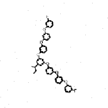 CCC(C)c1cc(Oc2cccc(Oc3cccc(Oc4cccc(F)c4)c3)c2)cc(Oc2cccc(Oc3cccc(Oc4cccc(F)c4)c3)c2)c1